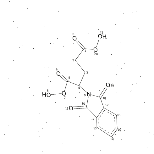 O=C(CCC(C(=O)OO)N1C(=O)c2ccccc2C1=O)OO